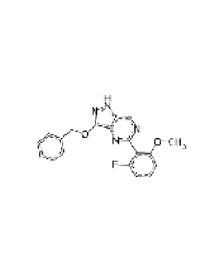 COc1cccc(F)c1-c1ncc2[nH]nc(OCc3ccccc3)c2n1